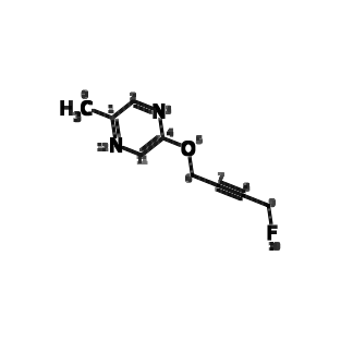 Cc1cnc(OCC#CCF)cn1